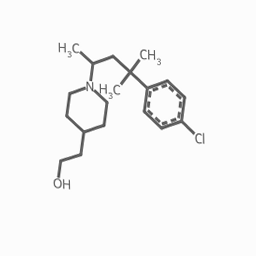 CC(CC(C)(C)c1ccc(Cl)cc1)N1CCC(CCO)CC1